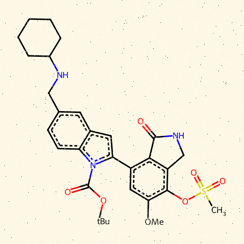 COc1cc(-c2cc3cc(CNC4CCCCC4)ccc3n2C(=O)OC(C)(C)C)c2c(c1OS(C)(=O)=O)CNC2=O